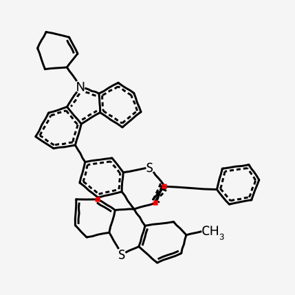 CC1C=CC2=C(C1)C1(C3=CC=CCC3S2)c2ccc(-c3ccccc3)cc2Sc2cc(-c3cccc4c3c3ccccc3n4C3C=CCCC3)ccc21